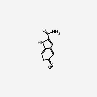 NC(=O)c1cc2c([nH]1)=CCC(=S=O)C=2